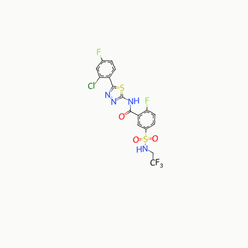 O=C(Nc1nnc(-c2ccc(F)cc2Cl)s1)c1cc(S(=O)(=O)NCC(F)(F)F)ccc1F